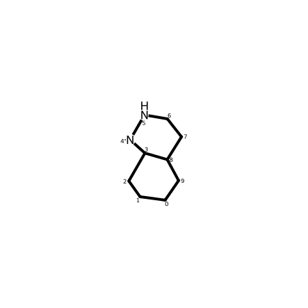 C1CCC2[N]NCCC2C1